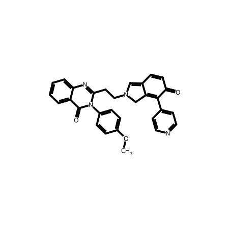 COc1ccc(-n2c(CCN3C=C4C=CC(=O)C(c5ccncc5)=C4C3)nc3ccccc3c2=O)cc1